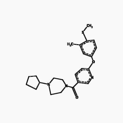 CSc1ccc(Oc2ccc(C(=O)N3CCN(C4CCCC4)CC3)cn2)cc1C